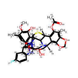 COc1c(C)cc2c(c1O)[C@@H]1C3[C@@H]4SC[C@]5(NC(C)Cc6c5[nH]c5ccc(F)cc65)C(=O)OC[C@@H](c5c6c(c(C)c(OC(C)=O)c54)OCO6)N3[C@@H](O)[C@H](C2)N1C